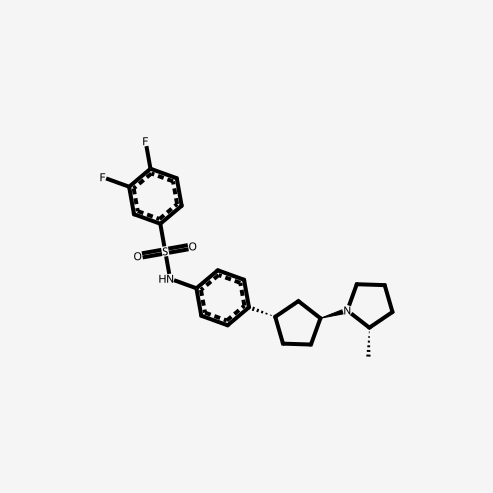 C[C@H]1CCCN1[C@H]1CC[C@H](c2ccc(NS(=O)(=O)c3ccc(F)c(F)c3)cc2)C1